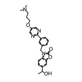 CC(O)c1ccc2c(c1)oc(=O)n2Cc1cccc(-c2ncc(OCCCN(C)C)cn2)c1